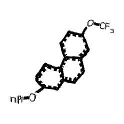 CCCOc1ccc2c(ccc3cc(OC(F)(F)F)ccc32)c1